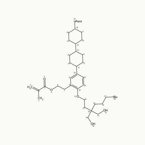 C=C(C)C(=O)OCCc1cc(C2CCC(C3CCC(CCCCC)CC3)CC2)ccc1OCCC(CO)(CO)CCCC(C)(C)C